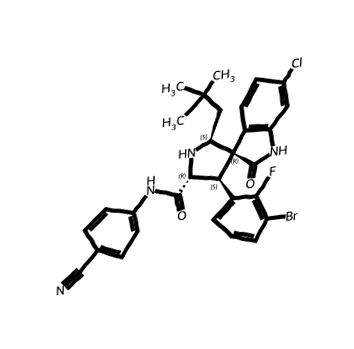 CC(C)(C)C[C@@H]1N[C@@H](C(=O)Nc2ccc(C#N)cc2)[C@H](c2cccc(Br)c2F)[C@]12C(=O)Nc1cc(Cl)ccc12